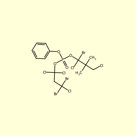 CC(C)(CCl)C(Cl)(Br)OP(=O)(Oc1ccccc1)OC(Cl)(Cl)CC(Cl)(Br)Br